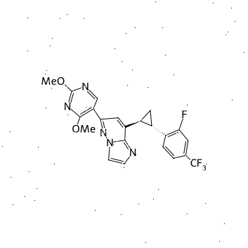 COc1ncc(-c2cc([C@H]3C[C@@H]3c3ccc(C(F)(F)F)cc3F)c3nccn3n2)c(OC)n1